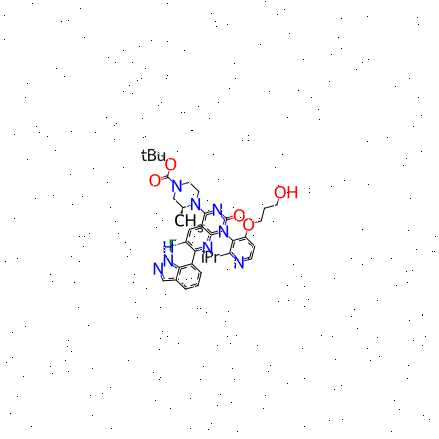 CC(C)c1nccc(OCCCO)c1-n1c(=O)nc(N2CCN(C(=O)OC(C)(C)C)C[C@@H]2C)c2cc(F)c(-c3cccc4cn[nH]c34)nc21